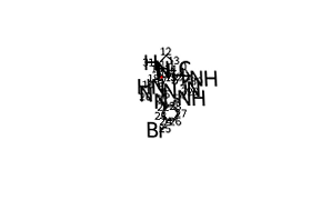 Cc1cc(Nc2nc(N[C@@H]3C[C@H]4CC[C@@H](C3)N4CCC#N)nc3cc(Br)ccc23)n[nH]1